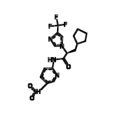 O=C(Nc1ccc(C[SH](=O)=O)cn1)[C@H](CC1CCCC1)n1cnc(C(F)(F)F)c1